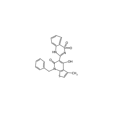 Cc1csc2c1c(O)c(C1=NS(=O)(=O)c3ccccc3N1)c(=O)n2Cc1ccccc1